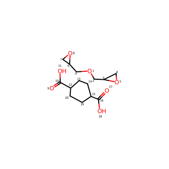 C(OCC1CO1)C1CO1.O=C(O)C1CCC(C(=O)O)CC1